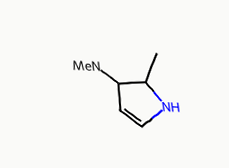 CNC1C=CNC1C